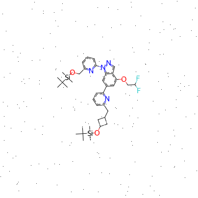 CC(C)(C)[Si](C)(C)OCc1cccc(-n2ncc3c(OCC(F)F)cc(-c4cccc(CC5CC(O[Si](C)(C)C(C)(C)C)C5)n4)cc32)n1